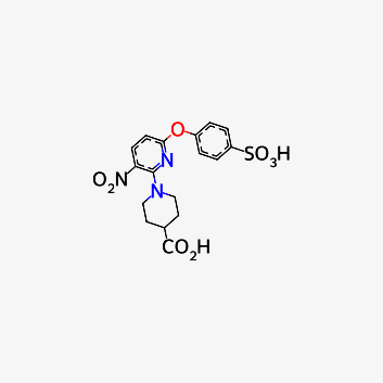 O=C(O)C1CCN(c2nc(Oc3ccc(S(=O)(=O)O)cc3)ccc2[N+](=O)[O-])CC1